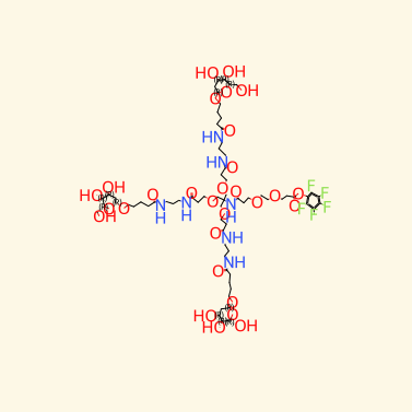 O=C(CCCCO[C@H]1C[C@@H](O)[C@@H](O)[C@@H](CO)O1)NCCCNC(=O)CCOCC(COCCC(=O)NCCCNC(=O)CCCCO[C@H]1C[C@@H](O)[C@@H](O)[C@@H](CO)O1)(COCCC(=O)NCCCNC(=O)CCCCO[C@H]1C[C@@H](O)[C@@H](O)[C@@H](CO)O1)NC(=O)CCOCCOCCC(=O)Oc1c(F)c(F)c(F)c(F)c1F